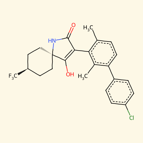 Cc1ccc(-c2ccc(Cl)cc2)c(C)c1C1=C(O)[C@]2(CC[C@H](C(F)(F)F)CC2)NC1=O